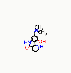 CN(C)Cc1cc(O)c2c3c(c(=O)[nH]c2c1)CCCN3